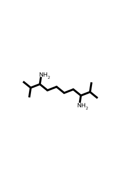 CC(C)C(N)CCCCC(N)C(C)C